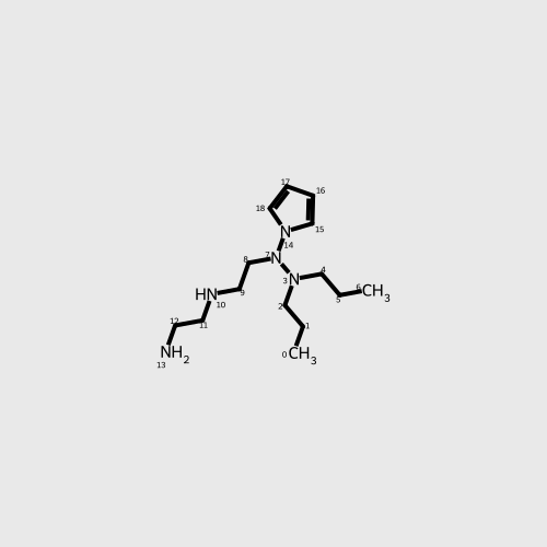 CCCN(CCC)N(CCNCCN)n1cccc1